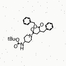 CC(C)(C)OC(=O)NC1CCN(C(=O)CC(Cc2ccccc2)C(=O)OCc2ccccc2)CC1